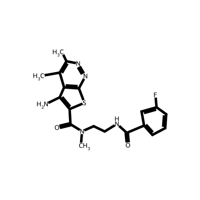 Cc1nnc2sc(C(=O)N(C)CCNC(=O)c3cccc(F)c3)c(N)c2c1C